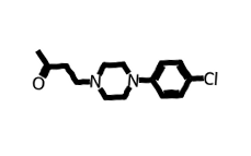 CC(=O)CCN1CCN(c2ccc(Cl)cc2)CC1